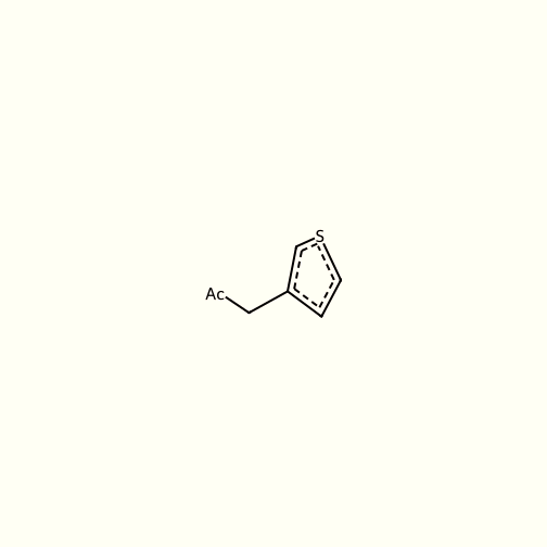 CC(=O)Cc1ccsc1